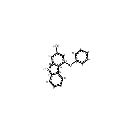 Oc1cc(Oc2ccccc2)c2c(c1)sc1ccccc12